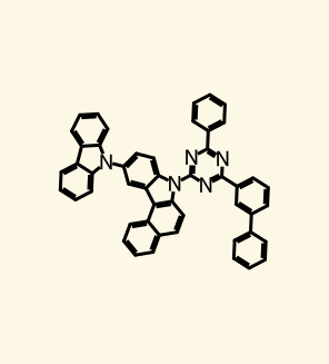 c1ccc(-c2cccc(-c3nc(-c4ccccc4)nc(-n4c5ccc(-n6c7ccccc7c7ccccc76)cc5c5c6ccccc6ccc54)n3)c2)cc1